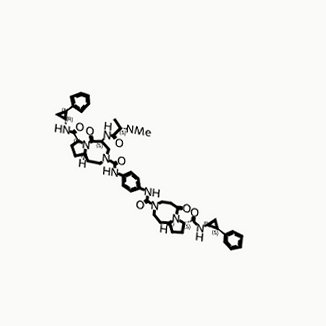 CN[C@@H](C)C(=O)N[C@H]1CN(C(=O)Nc2ccc(NC(=O)N3CCC(=O)N4[C@H](CC[C@H]4C(=O)N[C@@H]4C[C@H]4c4ccccc4)CC3)cc2)CC[C@H]2CC[C@@H](C(=O)N[C@@H]3C[C@H]3c3ccccc3)N2C1=O